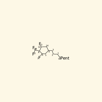 CCCC(C)CCCC1CC(F)C(C(F)F)C(F)C1